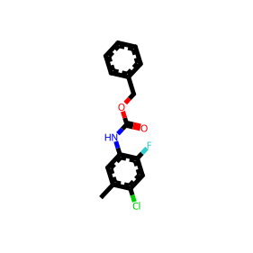 Cc1cc(NC(=O)OCc2ccccc2)c(F)cc1Cl